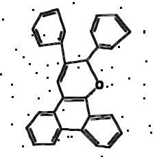 C1=C(c2ccccc2)C(c2ccccc2)Oc2c1c1ccccc1c1ccccc21